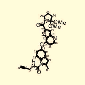 C#CCNC(=O)n1c(C)cc2cc(Oc3ccnc4cc(C(=O)N5CCCC5(OC)OC)sc34)ccc21